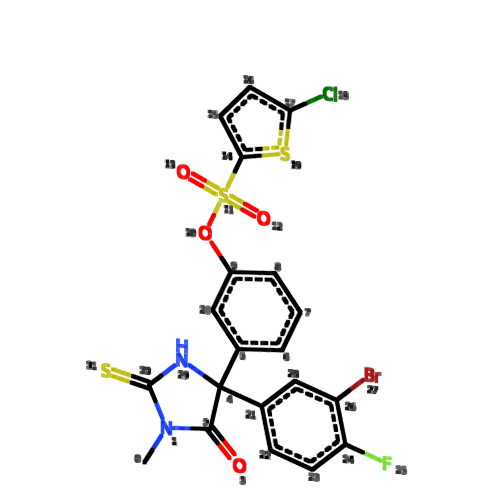 CN1C(=O)C(c2cccc(OS(=O)(=O)c3ccc(Cl)s3)c2)(c2ccc(F)c(Br)c2)NC1=S